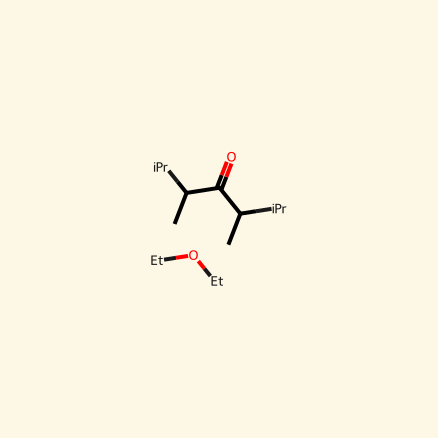 CC(C)C(C)C(=O)C(C)C(C)C.CCOCC